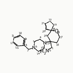 NCC1(N2CCN(Cc3ccccc3)CC2)CCOC2(CCCC2)C1